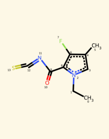 CCn1cc(C)c(F)c1C(=O)N=C=S